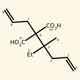 C=CCC(C)(CC)C(CC=C)(C(=O)O)C(=O)O